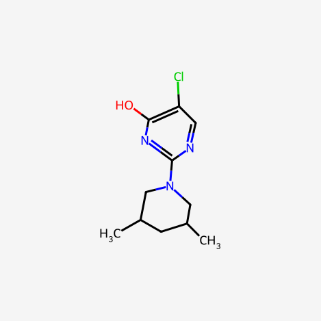 CC1CC(C)CN(c2ncc(Cl)c(O)n2)C1